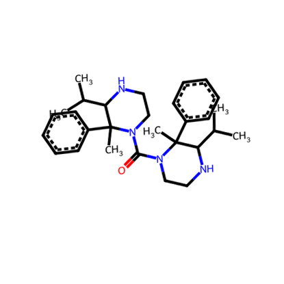 CC(C)C1NCCN(C(=O)N2CCNC(C(C)C)C2(C)c2ccccc2)C1(C)c1ccccc1